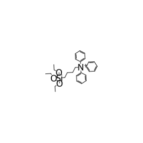 CCO[Si](CCCC[N+](c1ccccc1)(c1ccccc1)c1ccccc1)(OCC)OCC